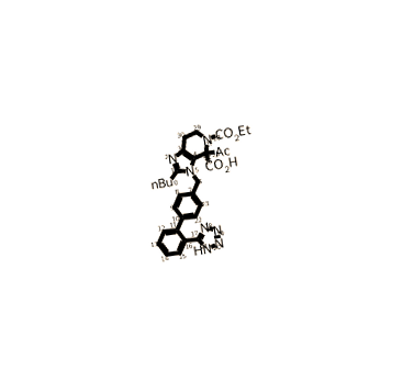 CCCCc1nc2c(n1Cc1ccc(-c3ccccc3-c3nnn[nH]3)cc1)C(C(C)=O)(C(=O)O)N(C(=O)OCC)CC2